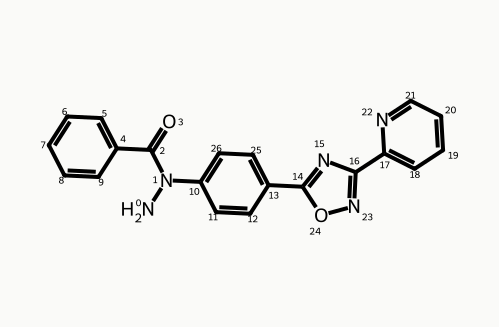 NN(C(=O)c1ccccc1)c1ccc(-c2nc(-c3ccccn3)no2)cc1